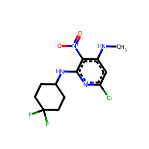 CNc1cc(Cl)nc(NC2CCC(F)(F)CC2)c1[N+](=O)[O-]